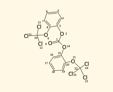 O=C(Oc1ccccc1OC(Cl)(Cl)Cl)Oc1ccccc1OC(Cl)(Cl)Cl